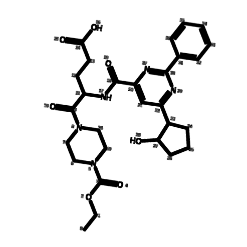 CCOC(=O)N1CCN(C(=O)C(CCC(=O)O)NC(=O)c2cc(C3CCCC3O)nc(-c3ccccc3)n2)CC1